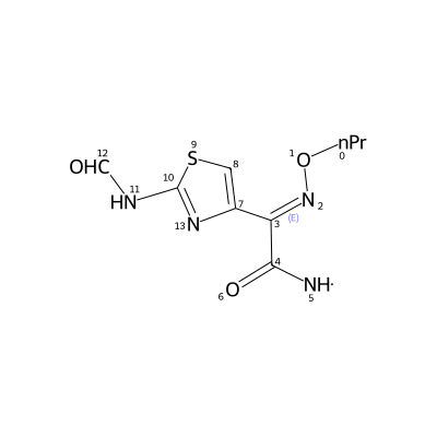 CCCO/N=C(/C([NH])=O)c1csc(NC=O)n1